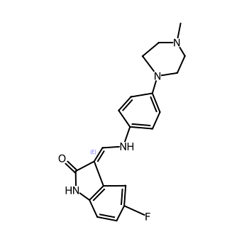 CN1CCN(c2ccc(N/C=C3/C(=O)Nc4ccc(F)cc43)cc2)CC1